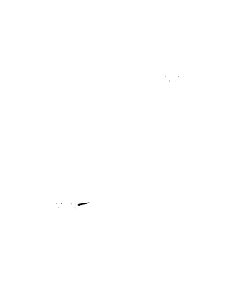 CN[C@@H]1C[C@H]1c1ccc(S(=O)(=O)NC)cc1.Cl